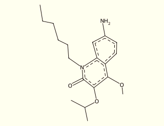 CCCCCCn1c(=O)c(OC(C)C)c(OC)c2ccc(N)cc21